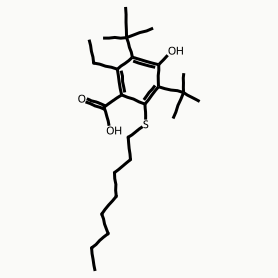 CCCCCCCCSc1c(C(=O)O)c(CC)c(C(C)(C)C)c(O)c1C(C)(C)C